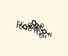 N#Cc1ccc(NC(=O)c2cc3cccc(NS(=O)(=O)c4ccc(OC(F)(F)F)cc4)c3[nH]2)c(C(=O)O)c1